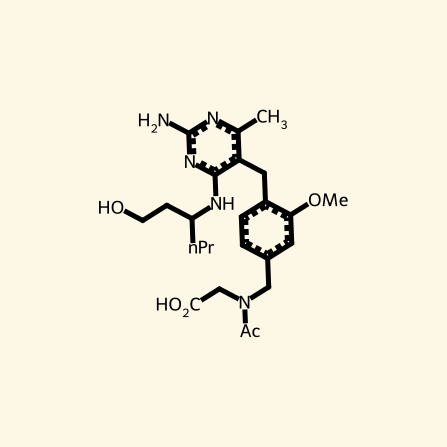 CCCC(CCO)Nc1nc(N)nc(C)c1Cc1ccc(CN(CC(=O)O)C(C)=O)cc1OC